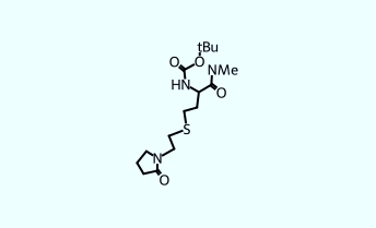 CNC(=O)C(CCSCCN1CCCC1=O)NC(=O)OC(C)(C)C